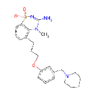 CN1C(N)=NS(=O)(=O)c2cccc(CCCOc3cccc(CN4CCCCC4)c3)c21